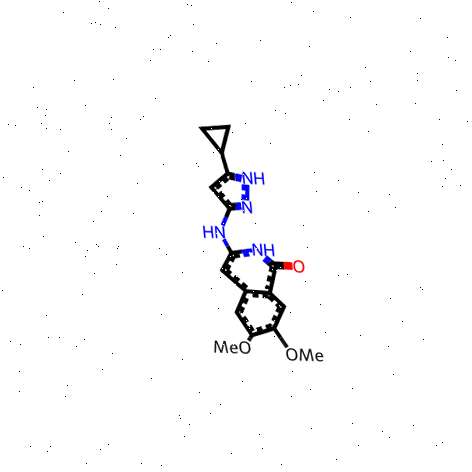 COc1cc2cc(Nc3cc(C4CC4)[nH]n3)[nH]c(=O)c2cc1OC